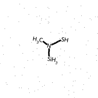 CN([SiH3])S